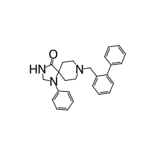 O=C1NCN(c2ccccc2)C12CCN(Cc1ccccc1-c1ccccc1)CC2